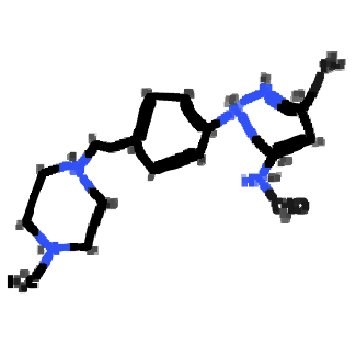 CN1CCN(Cc2ccc(-n3nc(C(C)(C)C)cc3NC=O)cc2)CC1